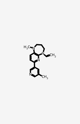 C=CN1CCCN(C)c2ccc(-c3cncc(C)c3)nc21